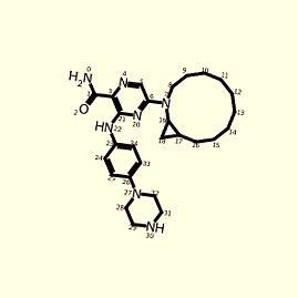 NC(=O)c1ncc(N2CCCCCCCCCC3CC32)nc1Nc1ccc(N2CCNCC2)cc1